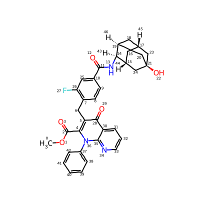 COC(=O)c1c(Cc2ccc(C(=O)N[C@@H]3[C@@H]4C[C@@H]5C[C@H]3C[C@](O)(C5)C4)cc2F)c(=O)c2cccnc2n1-c1ccccc1